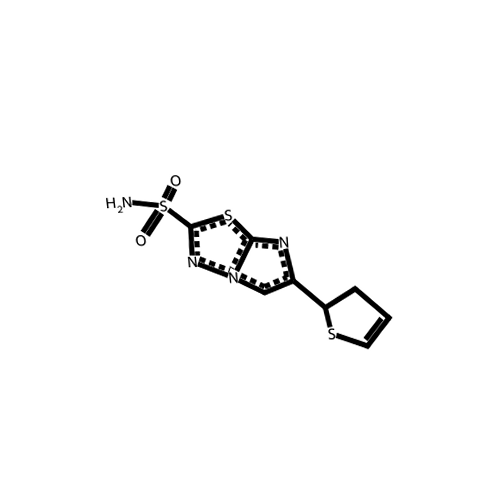 NS(=O)(=O)c1nn2cc(C3CC=CS3)nc2s1